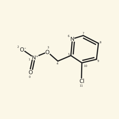 O=[N+]([O-])OCc1ncccc1Cl